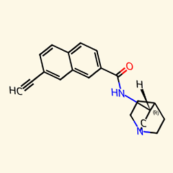 C#Cc1ccc2ccc(C(=O)N[C@H]3CN4CCC3CC4)cc2c1